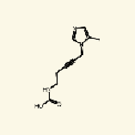 Cc1cncn1CC#CCCNC(=O)O